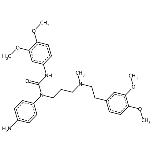 COc1ccc(CCN(C)CCCN(C(=O)Nc2ccc(OC)c(OC)c2)c2ccc(N)cc2)cc1OC